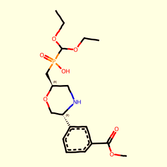 CCOC(OCC)P(=O)(O)C[C@H]1CN[C@H](c2cccc(C(=O)OC)c2)CO1